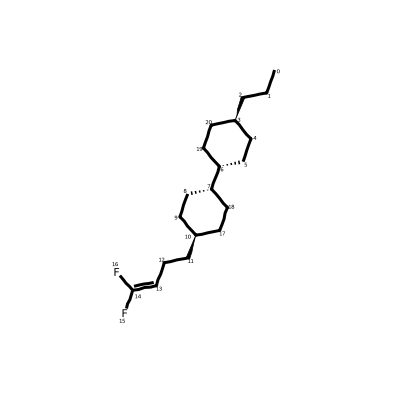 CCC[C@H]1CC[C@H]([C@H]2CC[C@H](CCC=C(F)F)CC2)CC1